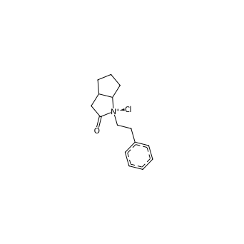 O=C1CC2CCCC2[N@+]1(Cl)CCc1ccccc1